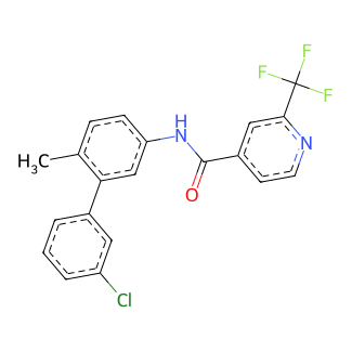 Cc1ccc(NC(=O)c2ccnc(C(F)(F)F)c2)cc1-c1cccc(Cl)c1